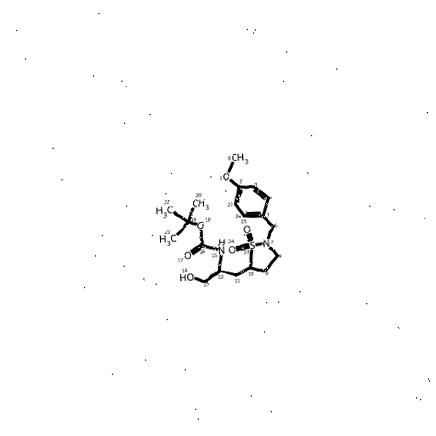 COc1ccc(CN2CCC(C[C@@H](CO)NC(=O)OC(C)(C)C)S2(=O)=O)cc1